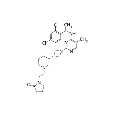 Cc1cnc(N2CC(C3CCCN(CCN4CCCC4=O)C3)C2)nc1NC(C)c1ccc(Cl)cc1Cl